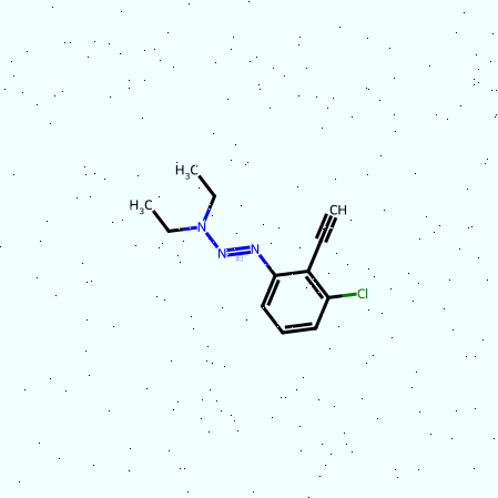 C#Cc1c(Cl)cccc1/N=N/N(CC)CC